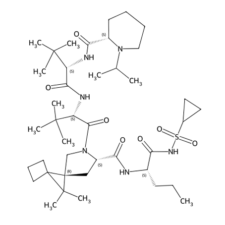 CCC[C@H](NC(=O)[C@@H]1C[C@@]2(CN1C(=O)[C@@H](NC(=O)[C@@H](NC(=O)[C@@H]1CCCCN1C(C)C)C(C)(C)C)C(C)(C)C)C(C)(C)C21CCC1)C(=O)NS(=O)(=O)C1CC1